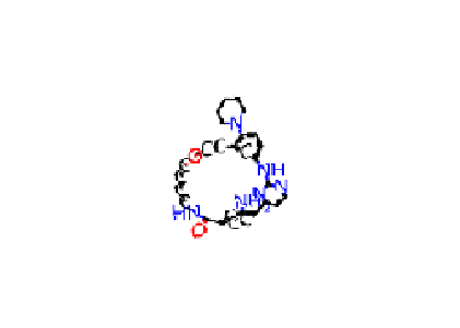 Nc1cc2ccc1-c1ccnc(n1)Nc1ccc(N3CCCCC3)c(c1)CCOCCCCNC2=O